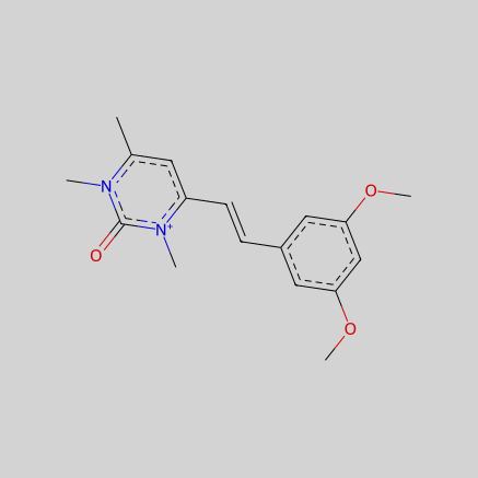 COc1cc(C=Cc2cc(C)n(C)c(=O)[n+]2C)cc(OC)c1